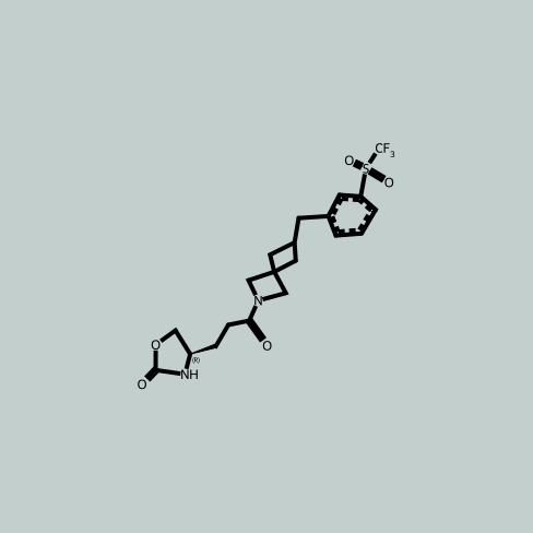 O=C1N[C@H](CCC(=O)N2CC3(CC(Cc4cccc(S(=O)(=O)C(F)(F)F)c4)C3)C2)CO1